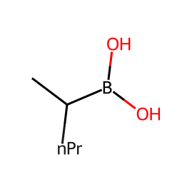 CCCC(C)B(O)O